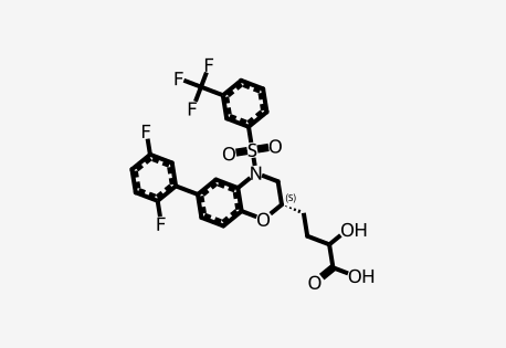 O=C(O)C(O)CC[C@H]1CN(S(=O)(=O)c2cccc(C(F)(F)F)c2)c2cc(-c3cc(F)ccc3F)ccc2O1